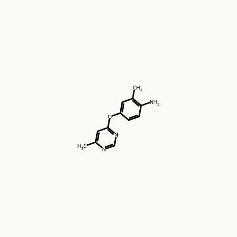 Cc1cc(Oc2ccc(N)c(C)c2)ncn1